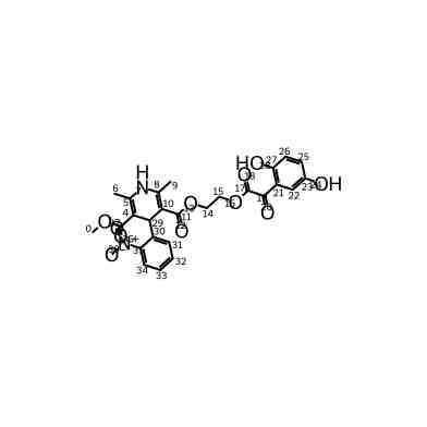 COC(=O)C1=C(C)NC(C)=C(C(=O)OCCOC(=O)C(=O)c2cc(O)ccc2O)C1c1ccccc1[N+](=O)[O-]